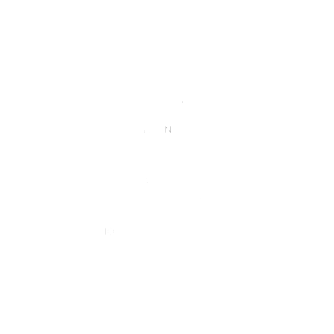 O=[N+]([O-])c1ccccc1SCCO